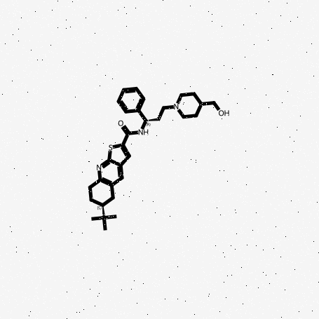 CC(C)(C)[C@H]1CCc2nc3sc(C(=O)N[C@H](CCN4CCC(CO)CC4)c4ccccc4)cc3cc2C1